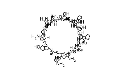 CCCC[C@H]1C(=O)N(C)[C@@H](CCCC)C(=O)N[C@@H](CCN)C(=O)NC(C(=O)NCC(N)=O)CSCC(=O)N[C@@H](Cc2ccc(O)cc2)C(=O)N(C)[C@@H](C)C(=O)N[C@@H](CC(N)=O)C(=O)N2CCC[C@H]2C(=O)N[C@@H](CC(N)=O)C(=O)N[C@@H](CC(C)C)C(=O)N2C[C@H](O)C[C@H]2C(=O)N[C@@H](Cc2c[nH]c3ccccc23)C(=O)N[C@@H](CO)C(=O)N[C@@H](Cc2csc3ccccc23)C(=O)N1C